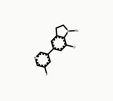 CC(=O)N1CCc2cc(-c3cncc(F)c3)cc(Cl)c21